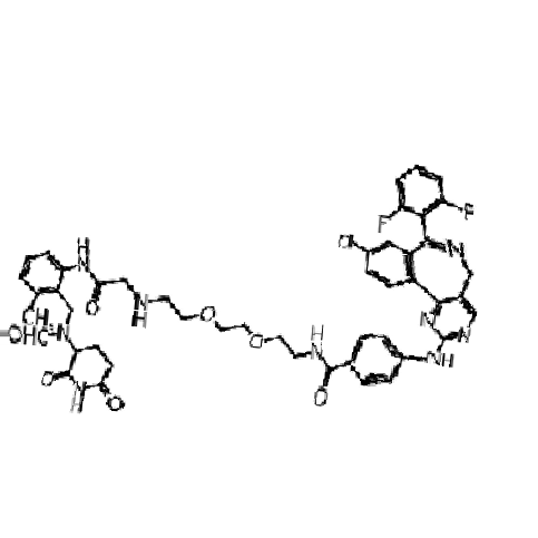 Cc1cccc(NC(=O)CNCCOCCOCCNC(=O)c2ccc(Nc3ncc4c(n3)-c3ccc(Cl)cc3C(c3c(F)cccc3F)=NC4)cc2)c1CN(C=O)C1CCC(=O)NC1=O